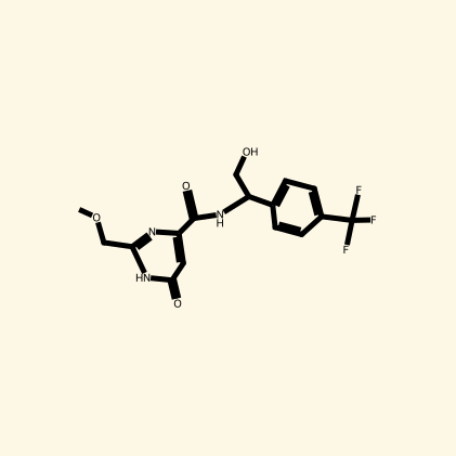 COCc1nc(C(=O)NC(CO)c2ccc(C(F)(F)F)cc2)cc(=O)[nH]1